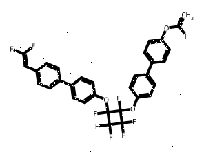 C=C(F)Oc1ccc(-c2ccc(OC3(F)C(F)(F)C(F)(F)C3(F)Oc3ccc(-c4ccc(C=C(F)F)cc4)cc3)cc2)cc1